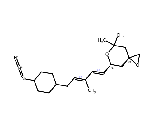 CC(/C=C/[C@@H]1C[C@]2(CO2)CC(C)(C)O1)=C\CC1CCC(N=[N+]=[N-])CC1